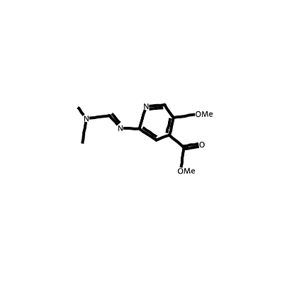 COC(=O)c1cc(/N=C/N(C)C)ncc1OC